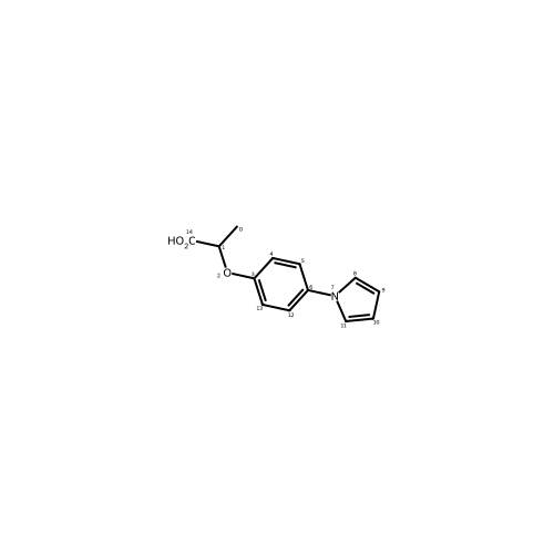 CC(Oc1ccc(-n2cccc2)cc1)C(=O)O